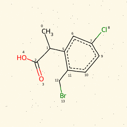 CC(C(=O)O)c1cc(Cl)ccc1CBr